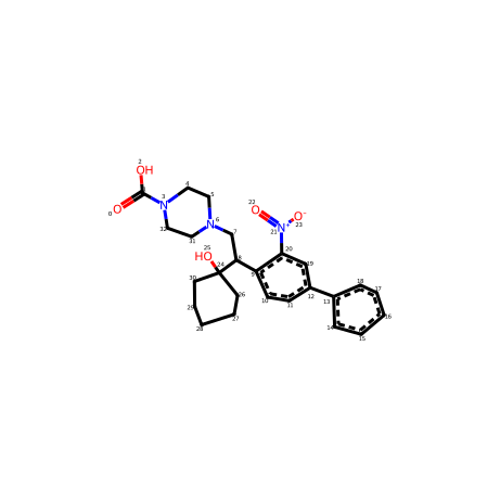 O=C(O)N1CCN(CC(c2ccc(-c3ccccc3)cc2[N+](=O)[O-])C2(O)CCCCC2)CC1